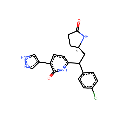 O=C1CC[C@H](CC(c2ccc(Cl)cc2)c2ccc(-c3cn[nH]c3)c(=O)[nH]2)N1